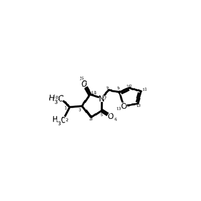 CC(C)C1CC(=O)N(Cc2ccco2)C1=O